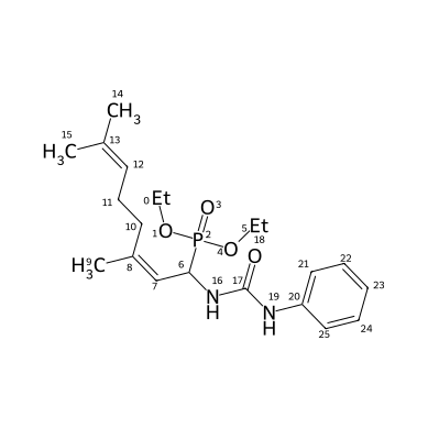 CCOP(=O)(OCC)C(C=C(C)CCC=C(C)C)NC(=O)Nc1ccccc1